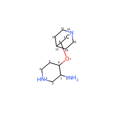 NC1CNCCC1OC1CN2CCC1CC2